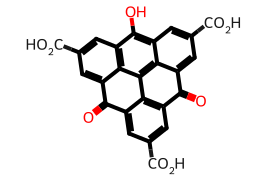 O=C(O)c1cc2c3c(c1)c(=O)c1cc(C(=O)O)cc4c(O)c5cc(C(=O)O)cc(c2=O)c5c-3c41